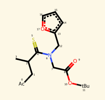 CC(=O)CC(C)C(=S)N(CC(=O)OC(C)(C)C)Cc1ccco1